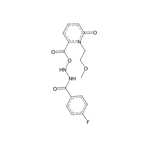 COCCn1c(C(=O)ONNC(=O)c2ccc(F)cc2)cccc1=O